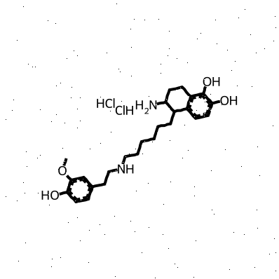 COc1cc(CCNCCCCCCC2c3ccc(O)c(O)c3CCC2N)ccc1O.Cl.Cl